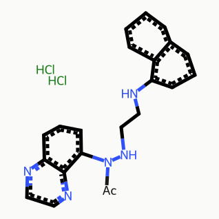 CC(=O)N(NCCNc1cccc2ccccc12)c1cccc2nccnc12.Cl.Cl